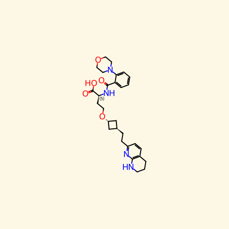 O=C(N[C@@H](CCO[C@H]1C[C@H](CCc2ccc3c(n2)NCCC3)C1)C(=O)O)c1ccccc1N1CCOCC1